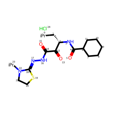 CC(C)C[C@H](NC(=O)C1CCCCC1)C(=O)C(=O)N/N=C1\SCCN1C(C)C.Cl